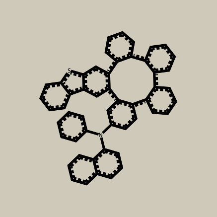 c1ccc(N(c2ccc3c4ccccc4c4ccccc4c4ccccc4c4cc5sc6ccccc6c5cc4c3c2)c2cccc3ccccc23)cc1